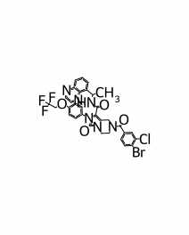 CC(NC(=O)c1c2n(c(=O)n1-c1ccc(OCC(F)(F)F)cc1)CCN(C(=O)c1ccc(Br)c(Cl)c1)C2)c1cccc2nccnc12